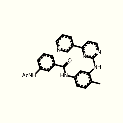 CC(=O)Nc1cccc(C(=O)Nc2ccc(C)c(Nc3nccc(-c4cccnc4)n3)c2)c1